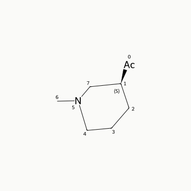 CC(=O)[C@H]1CCCN(C)C1